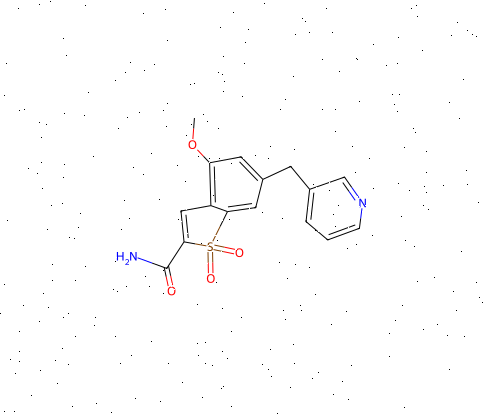 COc1cc(Cc2cccnc2)cc2c1C=C(C(N)=O)S2(=O)=O